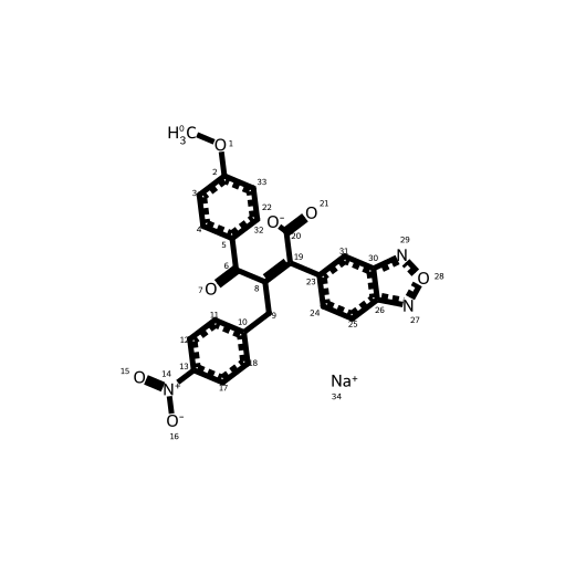 COc1ccc(C(=O)C(Cc2ccc([N+](=O)[O-])cc2)=C(C(=O)[O-])c2ccc3nonc3c2)cc1.[Na+]